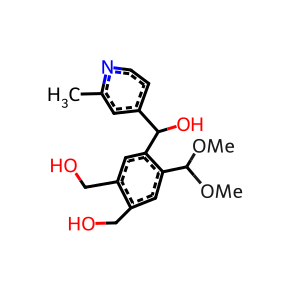 COC(OC)c1cc(CO)c(CO)cc1C(O)c1ccnc(C)c1